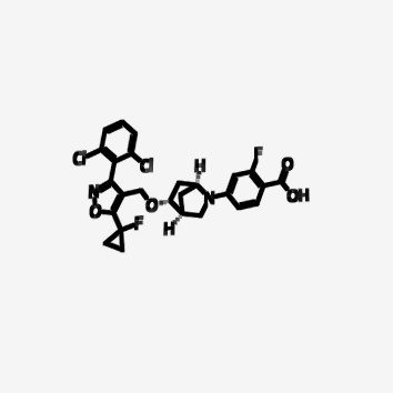 O=C(O)c1ccc(N2C[C@@H]3C[C@H]2C[C@H]3OCc2c(-c3c(Cl)cccc3Cl)noc2C2(F)CC2)cc1F